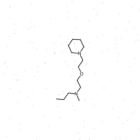 CCCN(C)CCOCCN1CCCCC1